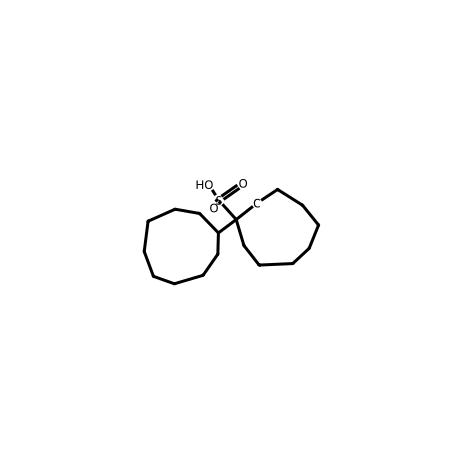 O=S(=O)(O)C1(C2CCCCCCCC2)CCCCCCCC1